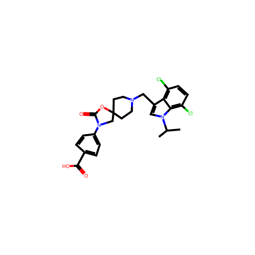 CC(C)n1cc(CN2CCC3(CC2)CN(c2ccc(C(=O)O)cc2)C(=O)O3)c2c(Cl)ccc(Cl)c21